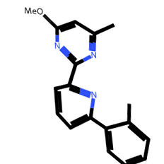 COc1cc(C)nc(-c2cccc(-c3ccccc3C)n2)n1